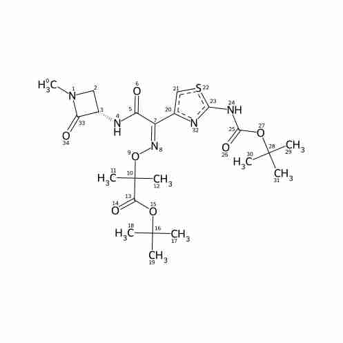 CN1C[C@H](NC(=O)/C(=N\OC(C)(C)C(=O)OC(C)(C)C)c2csc(NC(=O)OC(C)(C)C)n2)C1=O